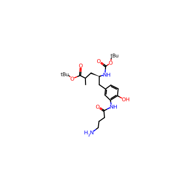 CC(C[C@H](Cc1ccc(O)c(NC(=O)CCCN)c1)NC(=O)OC(C)(C)C)C(=O)OC(C)(C)C